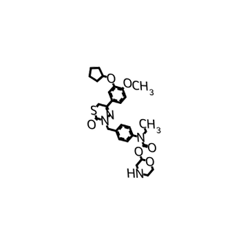 CCN(C(=O)OC1CNCCO1)c1ccc(CN2N=C(c3ccc(OC)c(OC4CCCC4)c3)CSC2=O)cc1